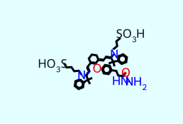 CC1(C)C(/C=C/C2=C(Oc3ccc(CCC(=O)NN)cc3)C(=C/C=C3/N(CCCCS(=O)(=O)O)c4ccccc4C3(C)C)/CCC2)=[N+](CCCCS(=O)(=O)O)c2ccccc21